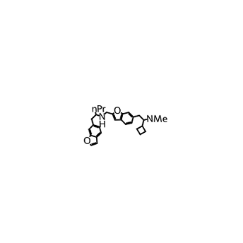 CCCC(Cc1ccc2ccoc2c1)NCc1cc2ccc(CC(NC)C3CCC3)cc2o1